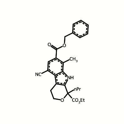 CCCC1(C(=O)OCC)OCCc2c1[nH]c1c(C)c(C(=O)OCc3ccccc3)cc(C#N)c21